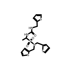 CC(NC(=O)NCc1cccs1)S(=O)(=O)N(Cc1cccs1)Cc1cccs1